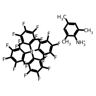 Cc1cc(C)c([NH3+])c(C)c1.Fc1c(F)c(F)c([B-](c2c(F)c(F)c(F)c(F)c2F)(c2c(F)c(F)c(F)c(F)c2F)c2c(F)c(F)c(F)c(F)c2F)c(F)c1F